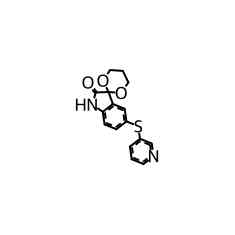 O=C1Nc2ccc(Sc3cccnc3)cc2C12OCCCO2